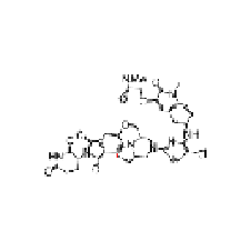 CNC(=O)COc1cc2cc(Nc3nc(N4CC5CCCN5C(COc5ccc6c(c5)C(=O)N(C5CCC(=O)NC5=O)C6=O)C4)ncc3Cl)ccc2n(C)c1=O